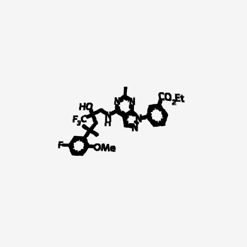 CCOC(=O)c1cccc(-n2ncc3c(NCC(O)(CC(C)(C)c4cc(F)ccc4OC)C(F)(F)F)nc(C)nc32)c1